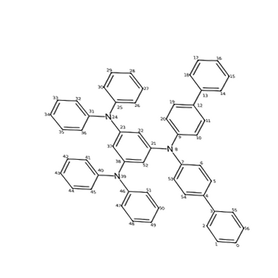 c1ccc(-c2ccc(N(c3ccc(-c4ccccc4)cc3)c3cc(N(c4ccccc4)c4ccccc4)cc(N(c4ccccc4)c4ccccc4)c3)cc2)cc1